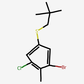 Cc1c(Cl)cc(SCC(C)(C)C)cc1Br